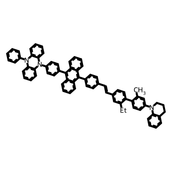 CCc1cc(/C=C/c2ccc(-c3c4ccccc4c(-c4ccc(N5c6ccccc6N(c6ccccc6)c6ccccc65)cc4)c4ccccc34)cc2)ccc1-c1ccc(N2CCCc3ccccc32)cc1C